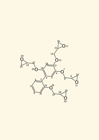 c1ccc(-c2cc(OCC3CO3)c(OCC3CO3)cc2OCC2CO2)c(OCC2CO2)c1